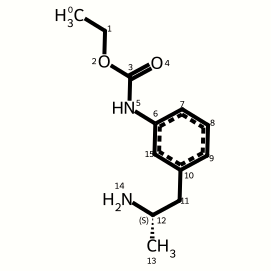 CCOC(=O)Nc1cccc(C[C@H](C)N)c1